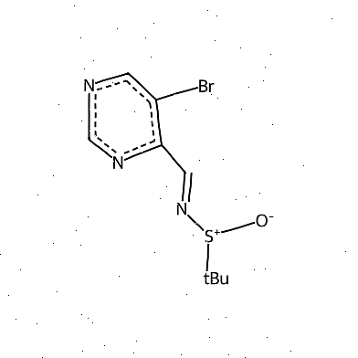 CC(C)(C)[S+]([O-])N=Cc1ncncc1Br